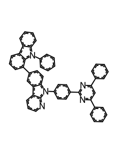 c1ccc(-c2cc(-c3ccccc3)nc(-c3ccc(-n4c5ccc(-c6cccc7c8ccccc8n(-c8ccccc8)c67)cc5c5cccnc54)cc3)n2)cc1